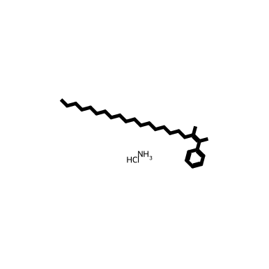 CCCCCCCCCCCCCCCCCCC(C)=C(C)c1ccccc1.Cl.N